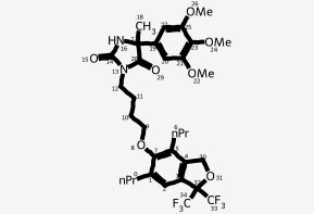 CCCc1cc2c(c(CCC)c1OCCCCN1C(=O)NC(C)(c3cc(OC)c(OC)c(OC)c3)C1=O)COC2(C(F)(F)F)C(F)(F)F